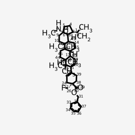 C=C(C)[C@@H]1CC[C@]2(NC)CC[C@]3(C)[C@H](CC[C@@H]4[C@@]5(C)CC=C(C6=CC[C@](CF)(C(=O)OCc7ccccc7)CC6)C(C)(C)[C@@H]5CC[C@]43C)[C@@H]12